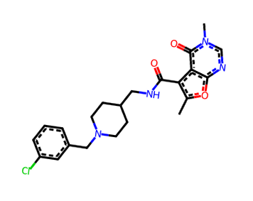 Cc1oc2ncn(C)c(=O)c2c1C(=O)NCC1CCN(Cc2cccc(Cl)c2)CC1